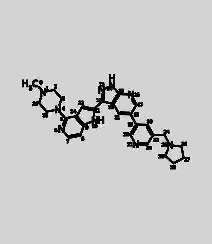 CN1CCN(c2nccc3[nH]c(-c4n[nH]c5ncc(-c6cncc(CN7CCCC7)c6)cc45)cc23)CC1